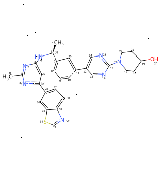 Cc1nc(N[C@@H](C)c2cccc(-c3cnc(N4CCC(O)CC4)nc3)c2)cc(-c2ccc3ncsc3c2)n1